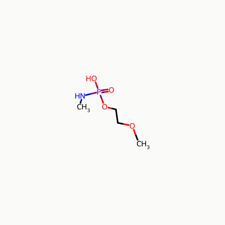 CNP(=O)(O)OCCOC